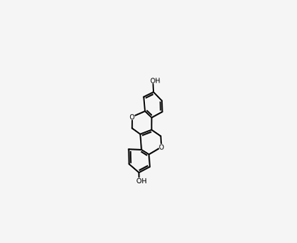 Oc1ccc2c(c1)OCC1=C2COc2cc(O)ccc21